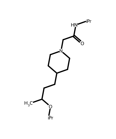 CC(C)NC(=O)CN1CCC(CCC(C)OC(C)C)CC1